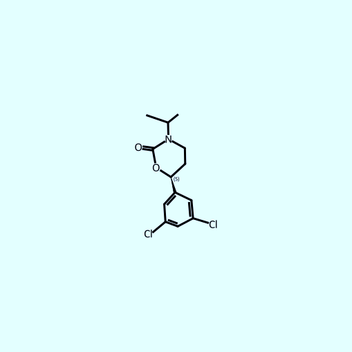 CC(C)N1CC[C@@H](c2cc(Cl)cc(Cl)c2)OC1=O